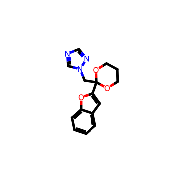 c1ccc2oc(C3(Cn4cncn4)OCCCO3)cc2c1